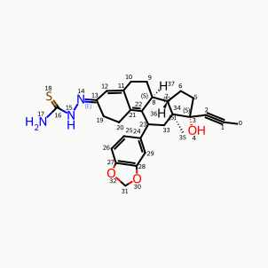 CC#C[C@]1(O)CC[C@H]2[C@@H]3CCC4=C/C(=N/NC(N)=S)CCC4=C3C(c3ccc4c(c3)OCO4)C[C@@]21C